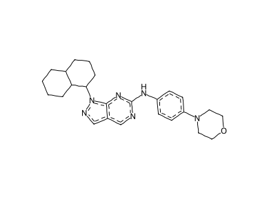 c1cc(N2CCOCC2)ccc1Nc1ncc2cnn(C3CCCC4CCCCC43)c2n1